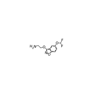 NCCOc1noc2ccc(OC(F)F)cc12